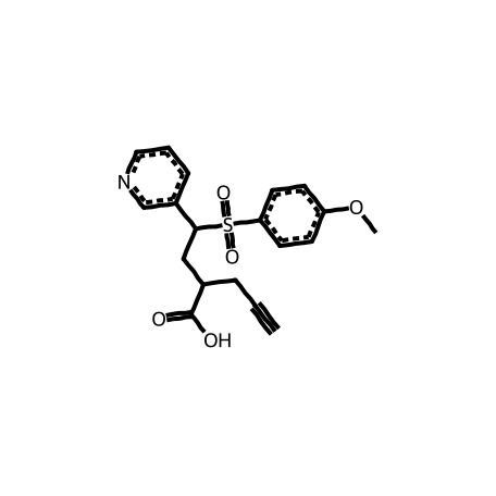 C#CCC(CC(c1cccnc1)S(=O)(=O)c1ccc(OC)cc1)C(=O)O